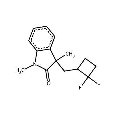 CN1C(=O)C(C)(CC2CCC2(F)F)c2ccccc21